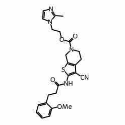 COc1ccccc1CCC(=O)Nc1sc2c(c1C#N)CCN(C(=O)OCCn1ccnc1C)C2